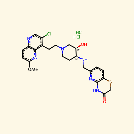 COc1ccc2ncc(Cl)c(CCN3CC[C@H](NCc4ccc5c(n4)NC(=O)CS5)[C@H](O)C3)c2n1.Cl.Cl